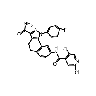 NC(=O)c1nn(-c2ccc(F)cc2)c2c1CCc1ccc(NC(=O)c3cc(Cl)ncc3Cl)cc1-2